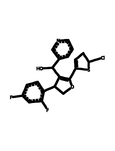 OC(C1=C(C2=CCC(Cl)S2)OCC1c1ccc(F)cc1F)c1cccnc1